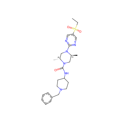 CCS(=O)(=O)c1cnc(N2C[C@@H](C)N(C(=O)NC3CCN(Cc4ccccc4)CC3)C[C@@H]2C)nc1